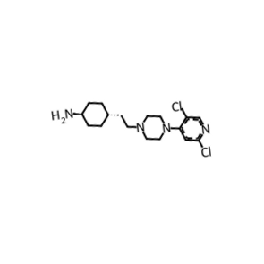 N[C@H]1CC[C@H](CCN2CCN(c3cc(Cl)ncc3Cl)CC2)CC1